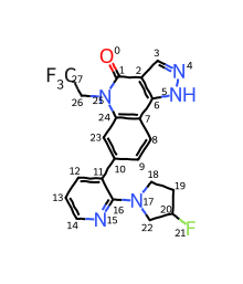 O=c1c2cn[nH]c2c2ccc(-c3cccnc3N3CCC(F)C3)cc2n1CC(F)(F)F